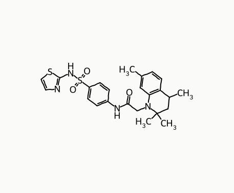 Cc1ccc2c(c1)N(CC(=O)Nc1ccc(S(=O)(=O)Nc3nccs3)cc1)C(C)(C)CC2C